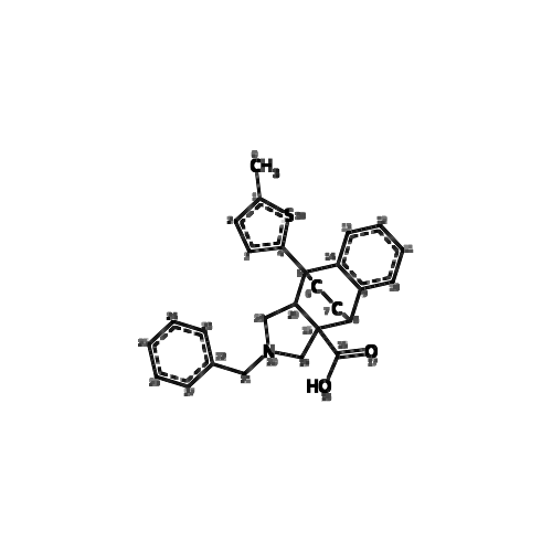 Cc1ccc(C23CCC(c4ccccc42)C2(C(=O)O)CN(Cc4ccccc4)CC32)s1